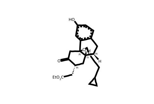 CCOC(=O)C[C@H]1C[C@@]2(O)[C@H]3Cc4ccc(O)cc4[C@@]2(CCN3CC2CC2)CC1=O